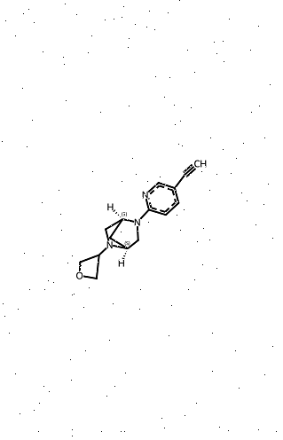 C#Cc1ccc(N2C[C@@H]3C[C@H]2CN3C2COC2)nc1